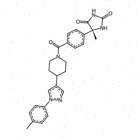 Cc1ccc(-n2cc(C3CCN(C(=O)c4ccc([C@@]5(C)NC(=O)NC5=O)cc4)CC3)cn2)cc1